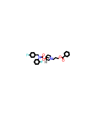 O=C(OCCC[N+]12CCC(CC1)[C@@H](OC(=O)N(Cc1ccc(F)cc1)c1ccccc1F)C2)c1ccccc1